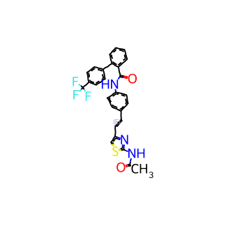 CC(=O)Nc1nc(/C=C/c2ccc(NC(=O)c3ccccc3-c3ccc(C(F)(F)F)cc3)cc2)cs1